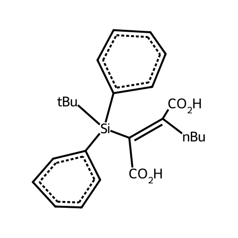 CCCC/C(C(=O)O)=C(\C(=O)O)[Si](c1ccccc1)(c1ccccc1)C(C)(C)C